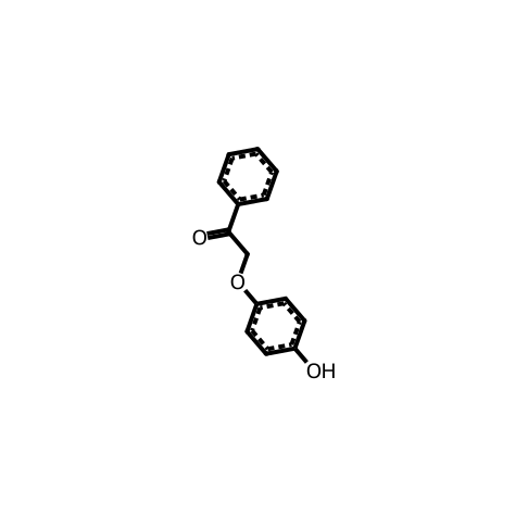 O=C(COc1ccc(O)cc1)c1ccccc1